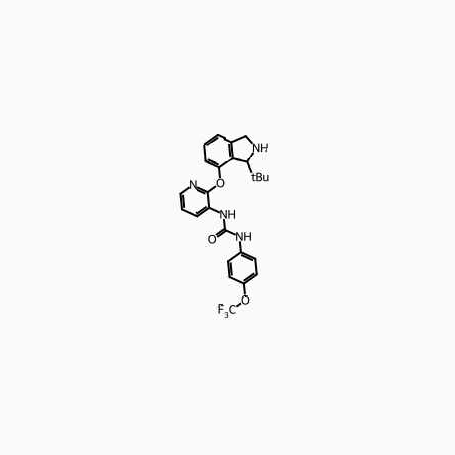 CC(C)(C)C1NCc2cccc(Oc3ncccc3NC(=O)Nc3ccc(OC(F)(F)F)cc3)c21